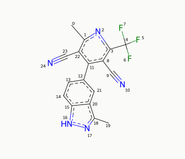 Cc1nc(C(F)(F)F)c(C#N)c(-c2ccc3[nH]nc(C)c3c2)c1C#N